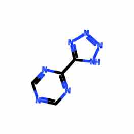 c1ncnc(-c2nnn[nH]2)n1